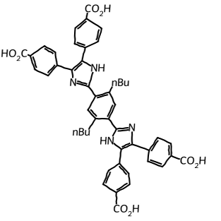 CCCCc1cc(-c2nc(-c3ccc(C(=O)O)cc3)c(-c3ccc(C(=O)O)cc3)[nH]2)c(CCCC)cc1-c1nc(-c2ccc(C(=O)O)cc2)c(-c2ccc(C(=O)O)cc2)[nH]1